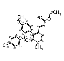 CCOC(=O)/C=C/c1ccn(C)c(=O)c1-c1ccc(OC)cc1C(=O)c1ccc(Cl)cc1